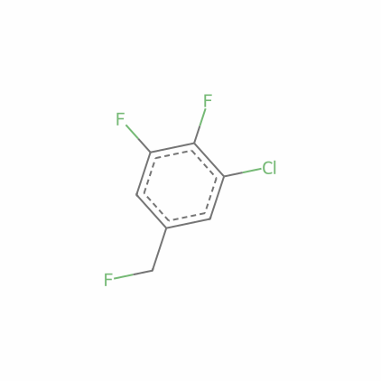 FCc1cc(F)c(F)c(Cl)c1